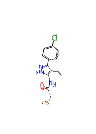 CCc1c(-c2ccc(Cl)cc2)n[nH]c1NC(=O)CS